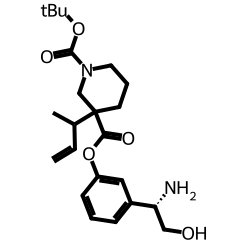 C=CC(C)C1(C(=O)Oc2cccc([C@H](N)CO)c2)CCCN(C(=O)OC(C)(C)C)C1